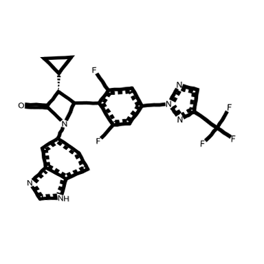 O=C1[C@H](C2CC2)C(c2c(F)cc(-n3ncc(C(F)(F)F)n3)cc2F)N1c1ccc2[nH]cnc2c1